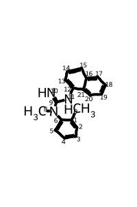 Cc1ccccc1N(C)C(=N)Nc1cccc2ccccc12